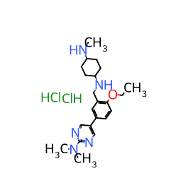 CCOc1ccc(-c2cnc(N(C)C)nc2)cc1CNC1CCC(NC)CC1.Cl.Cl